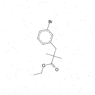 CCOC(=O)C(C)(C)Cc1cccc(Br)c1